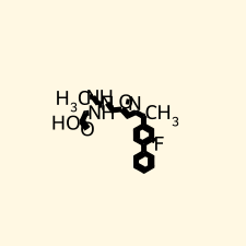 CNC(=NCc1cc(C(C)c2ccc(-c3ccccc3)c(F)c2)no1)NCC(=O)O